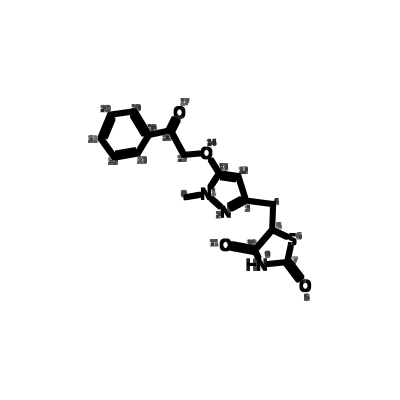 Cn1nc(CC2SC(=O)NC2=O)cc1OCC(=O)c1ccccc1